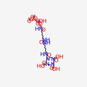 CC(=O)OC[C@@H](COP(=O)(O)OCCNC(=O)CCCCCNC(=O)NCCCCCCNC(=O)CN1CCN(CC(=O)O)CCN(CC(=O)O)CCN(CC(=O)O)CC1)OC(C)=O